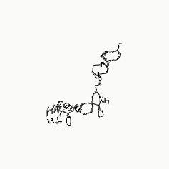 CC(C)(NC(=O)O)C(=O)N1CCC2(CC1)CC(CCN1CCN(c3ccc(F)cc3)CC1)NC2=O